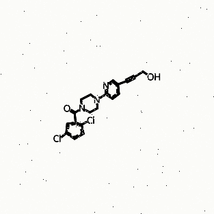 O=C(c1cc(Cl)ccc1Cl)N1CCN(c2ccc(C#CCO)cn2)CC1